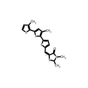 Cc1ccsc1-c1cc(C)c(-c2ccc(/C=C3/SC(C)N(C)C3=O)s2)s1